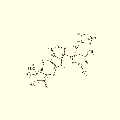 Cc1nc(C(F)(F)F)cc(-c2ccnc3cc(CN4C(=O)C(C)C(C)(C)C4=O)sc23)c1OC1CCNC1